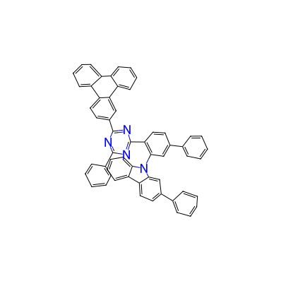 c1ccc(-c2ccc(-c3nc(-c4ccccc4)nc(-c4ccc5c6ccccc6c6ccccc6c5c4)n3)c(-n3c4ccccc4c4ccc(-c5ccccc5)cc43)c2)cc1